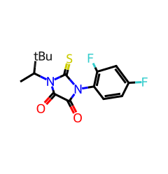 CC(N1C(=O)C(=O)N(c2ccc(F)cc2F)C1=S)C(C)(C)C